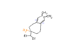 C=C/C=C1/CCCC(P)(C(CC)CC)CC/C1=C/C=C